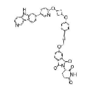 O=C1CCC(N2C(=O)c3ccc(OCC#Cc4ccc(OC5CC(Oc6ccc(-c7ccc8c(c7)[nH]c7ccncc78)cn6)C5)cc4)cc3C2=O)C(=O)N1